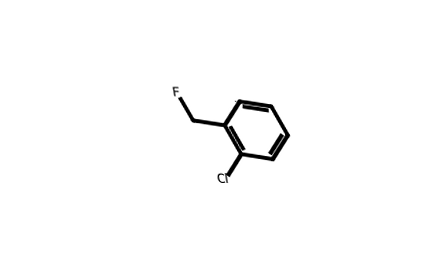 FCc1[c]cccc1Cl